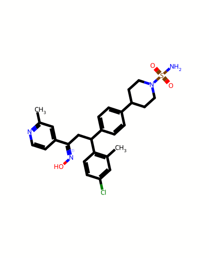 Cc1cc(/C(CC(c2ccc(C3CCN(S(N)(=O)=O)CC3)cc2)c2ccc(Cl)cc2C)=N\O)ccn1